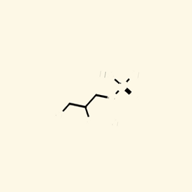 O=P(O)(O)OCC(O)CO.[Zn]